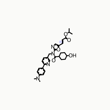 CC(C)OC(=O)/C=C/c1cnc(N(Cc2ccc(-c3ccc(N(C)C)cc3)nc2)C(=O)C2CCC(O)CC2)o1